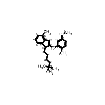 COc1ccc(C)c(SC2=Cc3c(C)cccc3C2CCCCC(C)(C)C)c1